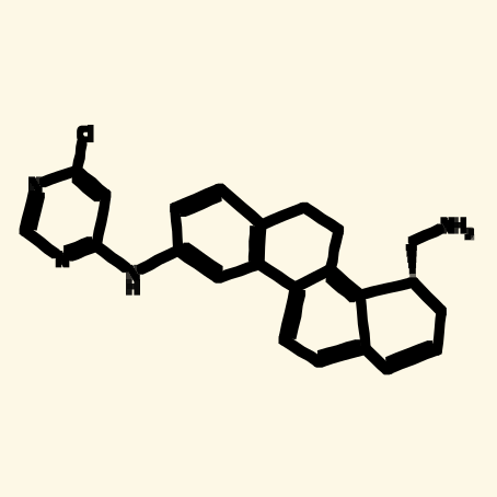 NC[C@@H]1CC=Cc2ccc3c(c21)CCc1ccc(Nc2cc(Cl)ncn2)cc1-3